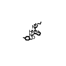 CCCn1cnc(-c2nc(C(=O)Nc3cc(C)ccc3C)c3ccccn23)c1